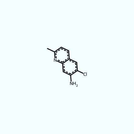 Cc1ccc2cc(Cl)c(N)cc2n1